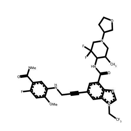 CNC(=O)c1cc(NCC#Cc2cc(C(=O)NC3C(C)CN(C4CCOC4)CC3(F)F)c3ncn(CC(F)(F)F)c3c2)c(OC)cc1F